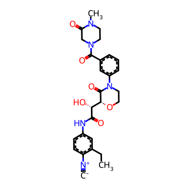 [C-]#[N+]c1ccc(NC(=O)[C@H](O)[C@H]2OCCN(c3cccc(C(=O)N4CCN(C)C(=O)C4)c3)C2=O)cc1CC